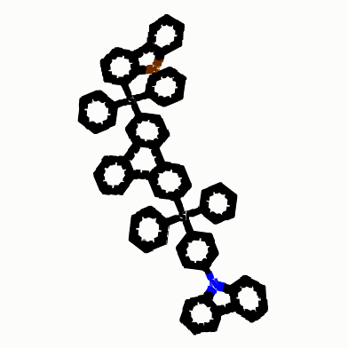 c1ccc([Si](c2ccccc2)(c2ccc(-n3c4ccccc4c4ccccc43)cc2)c2ccc3c4ccc([Si](c5ccccc5)(c5ccccc5)c5cccc6c5sc5ccccc56)cc4c4ccccc4c3c2)cc1